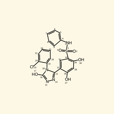 O=S(=O)(Nc1ccccc1)c1cc(-c2nnc(O)n2-c2ccccc2Cl)c(O)cc1O